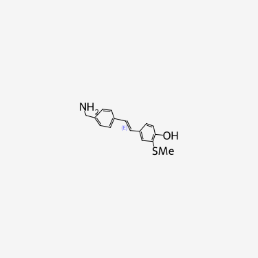 CSc1cc(/C=C/c2ccc(CN)cc2)ccc1O